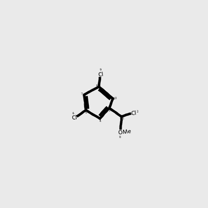 COC(Cl)c1cc(Cl)cc(Cl)c1